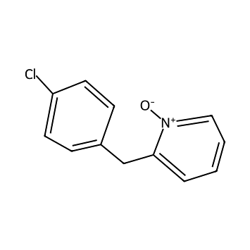 [O-][n+]1ccccc1Cc1ccc(Cl)cc1